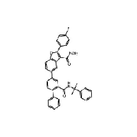 CNC(=O)c1c(-c2ccc(F)cc2)oc2ccc(-c3ccc(-c4ccccc4)c(C(=O)NC(C)(C)c4ccccc4)c3)cc12